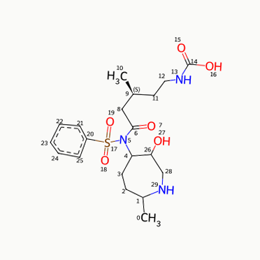 CC1CCC(N(C(=O)C[C@@H](C)CCNC(=O)O)S(=O)(=O)c2ccccc2)C(O)CN1